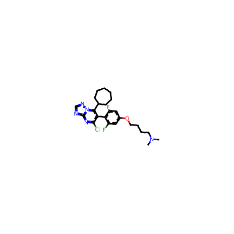 CN(C)CCCCOc1cc(F)c(-c2c(Cl)nc3ncnn3c2C2CCCCCC2)c(F)c1